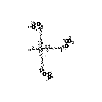 CN1Cc2c(Cl)cc(Cl)cc2[C@H](c2cccc(S(=O)(=O)NCCOCCOCCNC(=O)NCCC(CCNC(=O)NCCOCCOCCNS(=O)(=O)c3cccc([C@@H]4CN(C)Cc5c(Cl)cc(Cl)cc54)c3)(CCNC(=O)NCCOCCOCCNS(=O)(=O)c3cccc([C@@H]4CN(C)Cc5c(Cl)cc(Cl)cc54)c3)NC(=O)COCC(=O)O)c2)C1